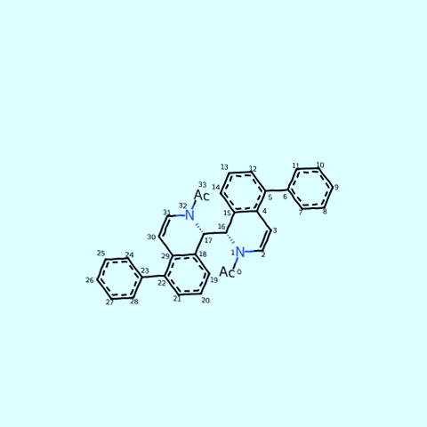 CC(=O)N1C=Cc2c(-c3ccccc3)cccc2[C@H]1[C@@H]1c2cccc(-c3ccccc3)c2C=CN1C(C)=O